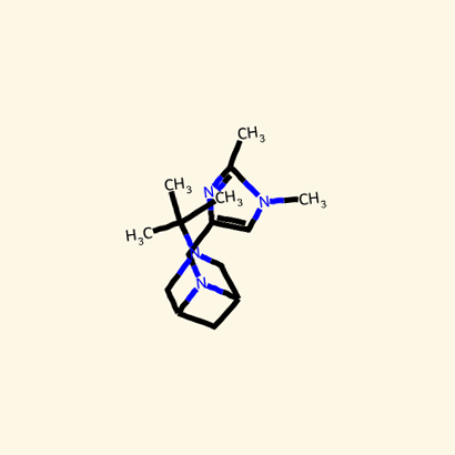 Cc1nc(CN2C3CC2CN(C(C)(C)C)C3)cn1C